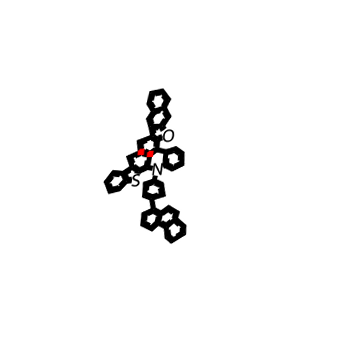 c1ccc(N(c2ccc(-c3cccc4c3ccc3ccccc34)cc2)c2cccc3c2sc2ccccc23)c(-c2cccc3c2oc2cc4ccccc4cc23)c1